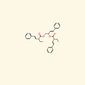 CCC(C=Cc1ccccc1)C(=O)OCC(C=Cc1ccccc1)OC(=O)C(C=Cc1ccccc1)CC